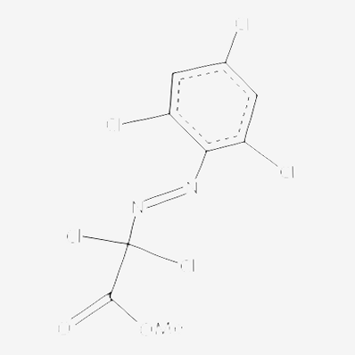 COC(=O)C(Cl)(Cl)N=Nc1c(Cl)cc(Cl)cc1Cl